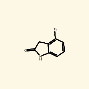 CCc1cccc2c1CC(=O)N2